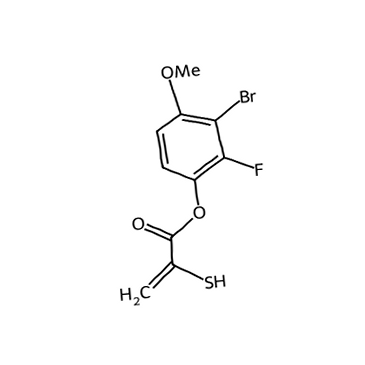 C=C(S)C(=O)Oc1ccc(OC)c(Br)c1F